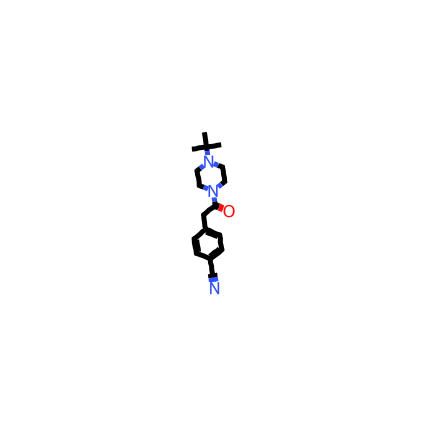 CC(C)(C)N1CCN(C(=O)Cc2ccc(C#N)cc2)CC1